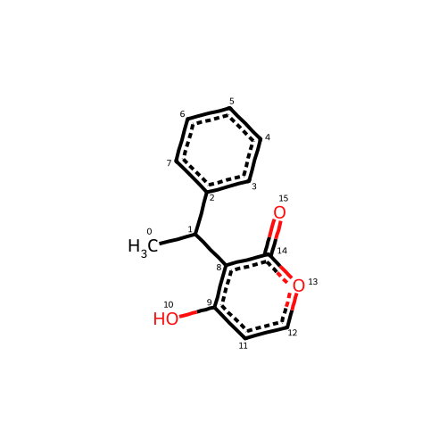 CC(c1ccccc1)c1c(O)ccoc1=O